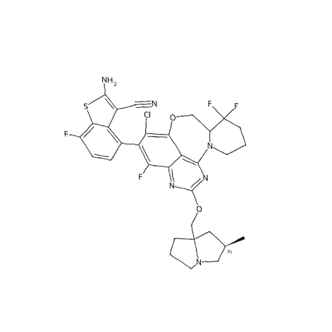 C[C@H]1CN2CCCC2(COc2nc3c4c(c(Cl)c(-c5ccc(F)c6sc(N)c(C#N)c56)c(F)c4n2)OCC2N3CCCC2(F)F)C1